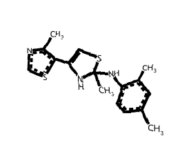 Cc1ccc(NC2(C)NC(c3scnc3C)=CS2)c(C)c1